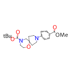 COC(=O)c1ccc(N2CCC3(CC2)CN(C(=O)OC(C)(C)C)CCO3)cc1